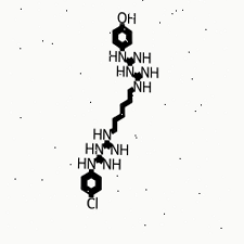 N=C(NCCCCCCNC(=N)NC(=N)Nc1ccc(Cl)cc1)NC(=N)Nc1ccc(O)cc1